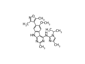 COc1cc2c(cc1-c1c(C)noc1C)[nH]c1nc(C)nc(Nc3nc(C)cn3C(C)C)c12